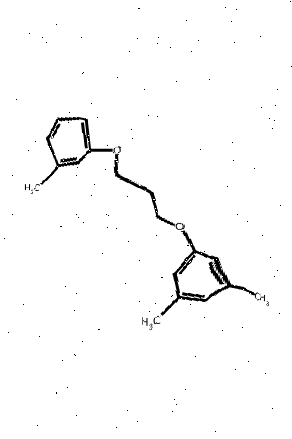 Cc1cccc(OCCCOc2cc(C)cc(C)c2)c1